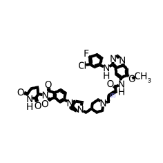 COc1cc2ncnc(Nc3ccc(F)c(Cl)c3)c2cc1NC(=O)/C=C/CN1CCC(CN2CC3CC2CN3c2ccc3c(c2)C(=O)N(C2CCC(=O)NC2=O)C3=O)CC1